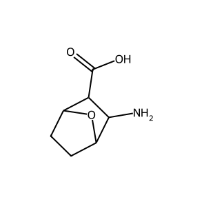 NC1C2CCC(O2)C1C(=O)O